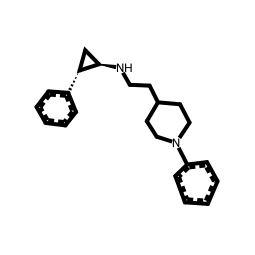 c1ccc([C@@H]2C[C@H]2NCCC2CCN(c3ccccc3)CC2)cc1